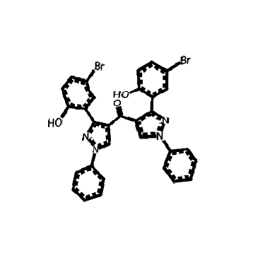 O=C(c1cn(-c2ccccc2)nc1-c1cc(Br)ccc1O)c1cn(-c2ccccc2)nc1-c1cc(Br)ccc1O